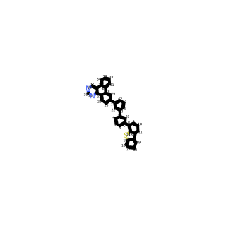 c1cc(-c2cccc(-c3cccc4c3sc3ccccc34)c2)cc(-c2ccc3c(c2)c2ccccc2c2cncnc32)c1